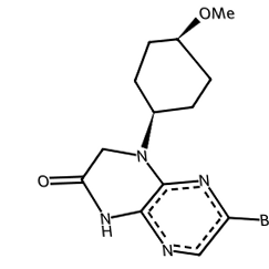 CO[C@H]1CC[C@@H](N2CC(=O)Nc3ncc(Br)nc32)CC1